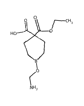 CCOC(=O)C1(C(=O)O)CCB(OCN)CC1